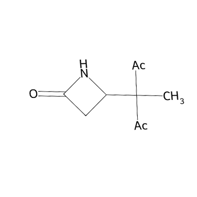 CC(=O)C(C)(C(C)=O)C1CC(=O)N1